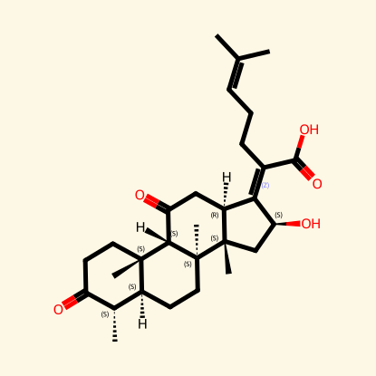 CC(C)=CCC/C(C(=O)O)=C1/[C@@H](O)C[C@@]2(C)[C@H]1CC(=O)[C@H]1[C@@]3(C)CCC(=O)[C@@H](C)[C@@H]3CC[C@@]12C